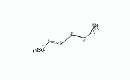 CCCC/C=C/CCC(C)C